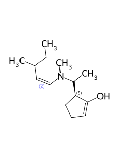 CCC(C)/C=C\N(C)C(C)[C@@H]1CCC=C1O